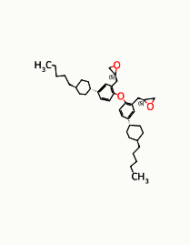 CCCCC[C@H]1CC[C@H](c2ccc(Oc3ccc([C@H]4CC[C@H](CCCCC)CC4)cc3C[C@H]3CO3)c(C[C@H]3CO3)c2)CC1